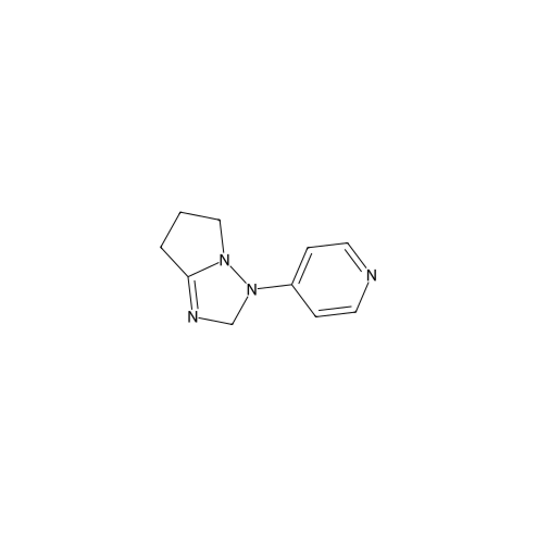 c1cc(N2CN=C3CCCN32)ccn1